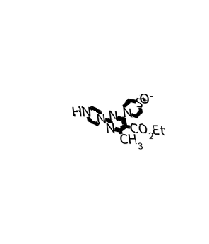 CCOC(=O)c1c(C)nc(N2CCNCC2)nc1N1CC[S+]([O-])CC1